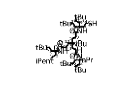 CCCC(C)CCC(CCC)(CCC(C)(C)C)NC(=O)CCC(CCC(=O)NC(CCC)(CCC(C)(C)C)CCC(C)(C)C)(CCC(=O)NC(CCS)(CCC(C)(C)C)CCC(C)(C)C)C(C)(C)C